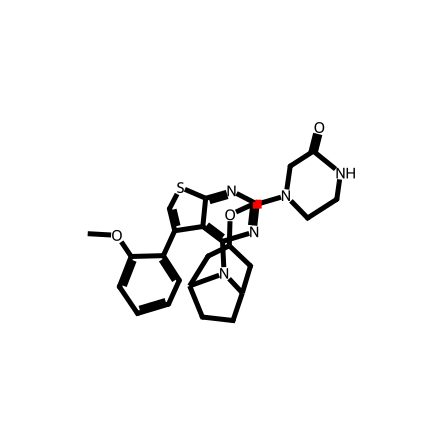 COc1ccccc1-c1csc2nc(N3CCNC(=O)C3)nc(N3C4CCC3CC(OC)C4)c12